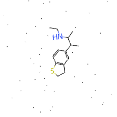 CCNC(C)C(C)c1ccc2c(c1)CCS2